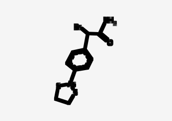 NC(=O)C(Br)c1ccc([As]2SCCS2)cc1